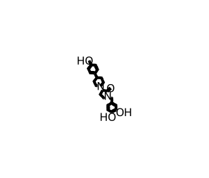 O=C1C(N2CCC(c3ccc(O)cc3)CC2)CCN1Cc1ccc(O)c(O)c1